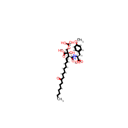 CCCCCCCC(=O)CCCCCC/C=C/[C@H](C(=O)N[C@@H](Cc1ccc(OC)cc1)C(=O)O)[C@@](O)(COC(O)O)C(=O)O